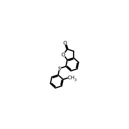 Cc1ccccc1Sc1cccc2c1OC(=O)C2